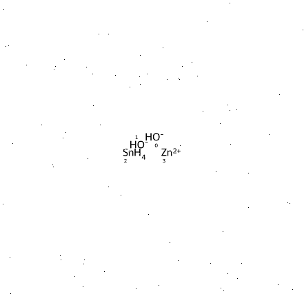 [OH-].[OH-].[SnH4].[Zn+2]